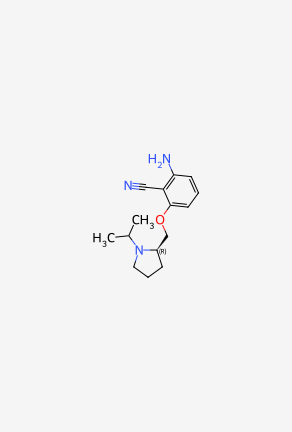 CC(C)N1CCC[C@@H]1COc1cccc(N)c1C#N